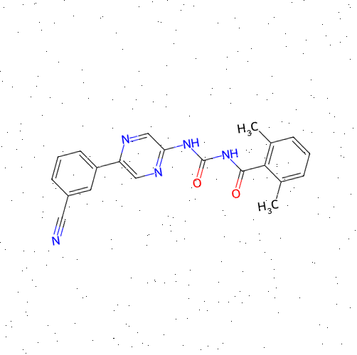 Cc1cccc(C)c1C(=O)NC(=O)Nc1cnc(-c2cccc(C#N)c2)cn1